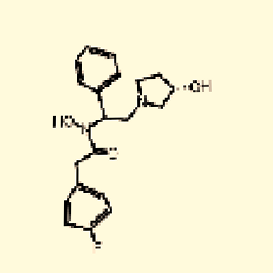 O=C(Cc1ccc(F)cc1)N(O)[C@H](CN1CC[C@H](O)C1)c1ccccc1